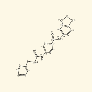 O=C(NCc1ccncc1)Nc1ccc(C(=O)Nc2ccc3c(c2)OCO3)cc1